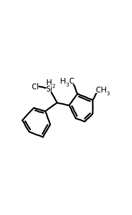 Cc1cccc(C([SiH2]Cl)c2ccccc2)c1C